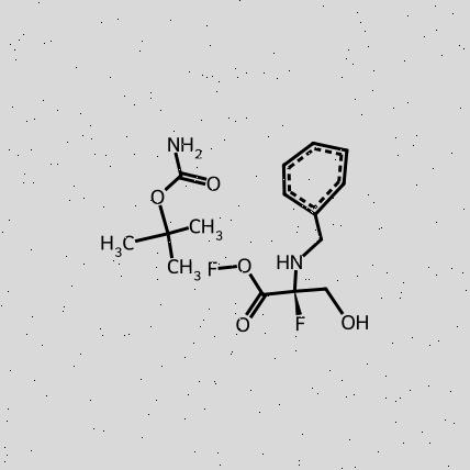 CC(C)(C)OC(N)=O.O=C(OF)[C@@](F)(CO)NCc1ccccc1